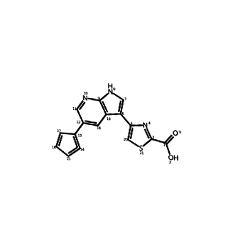 O=C(O)c1nc(-c2c[nH]c3ncc(C4=C=CC=C4)cc23)cs1